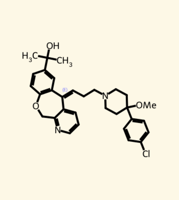 COC1(c2ccc(Cl)cc2)CCN(CC/C=C2/c3cc(C(C)(C)O)ccc3OCc3ncccc32)CC1